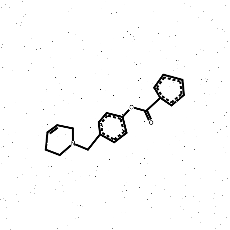 O=C(Oc1ccc(CN2CC=CCC2)cc1)c1ccccc1